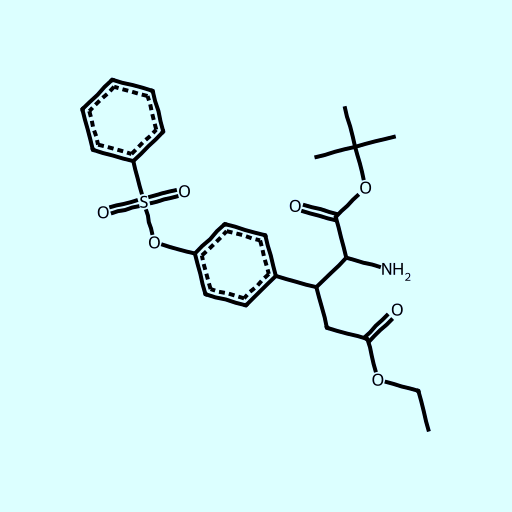 CCOC(=O)CC(c1ccc(OS(=O)(=O)c2ccccc2)cc1)C(N)C(=O)OC(C)(C)C